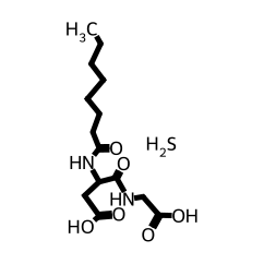 CCCCCCCC(=O)NC(CC(=O)O)C(=O)NCC(=O)O.S